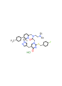 CCN(CC)CCN(Cc1ccc(-c2ccc(C(F)(F)F)cc2)cn1)C(=O)Cn1cc(Cc2cnn(C)c2)c(=O)nc1SCc1ccc(F)cc1.Cl